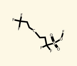 O=S(=O)(OF)C(F)(F)CCCCCC(F)(F)F